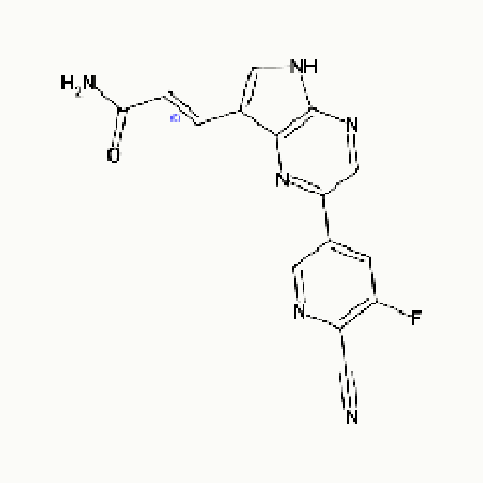 N#Cc1ncc(-c2cnc3[nH]cc(/C=C/C(N)=O)c3n2)cc1F